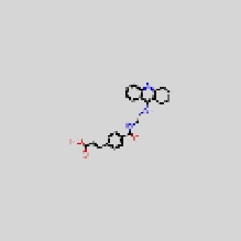 O=C(O)C=Cc1ccc(C(=O)NCCNc2c3c(nc4ccccc24)CCCC3)cc1